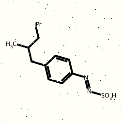 CC(C)CC(C)Cc1ccc(N=NS(=O)(=O)O)cc1